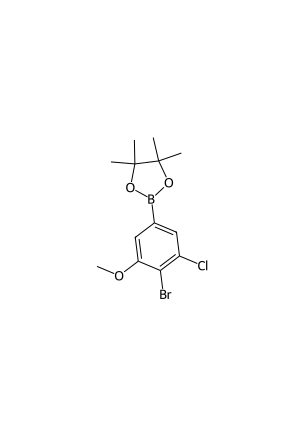 COc1cc(B2OC(C)(C)C(C)(C)O2)cc(Cl)c1Br